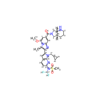 COc1cc(C(=O)N2C[C@H]3CCCN[C@H]3C2)cc2nc(-c3cc4ccc(N(C(F)F)S(C)(=O)=O)nc4n3CC3CC3)c(C)n12